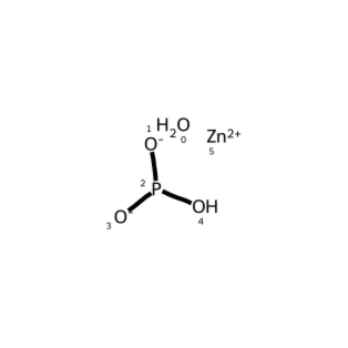 O.[O-]P([O-])O.[Zn+2]